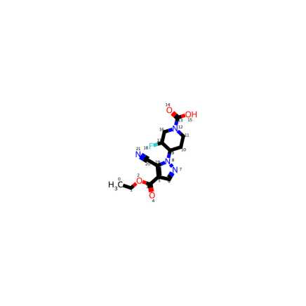 CCOC(=O)c1cnn(C2CCN(C(=O)O)CC2F)c1C#N